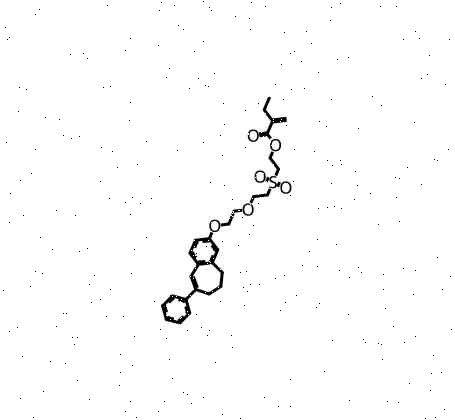 C=C(CC)C(=O)OCCS(=O)(=O)CCOCCOc1ccc2c(c1)CCCC(c1ccccc1)=C2